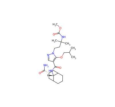 COC(=O)NC(C)(C)CCn1ncc(C(=O)N[C@H]2C3CCCC2C[C@@H](C(N)=O)C3)c1OCC(C)C